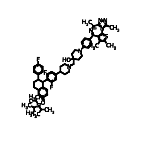 Cc1sc2c(c1C)C(c1ccc(N3CCC(O)(CN4CCC(c5cc(F)c(C6c7ccc(O[Si](C(C)C)(C(C)C)C(C)C)cc7CCC6c6ccc(F)cc6)c(F)c5)CC4)CC3)cc1)=N[C@@H](C)c1nnc(C)n1-2